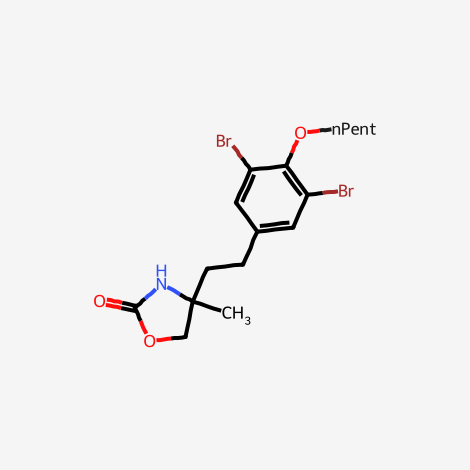 CCCCCOc1c(Br)cc(CCC2(C)COC(=O)N2)cc1Br